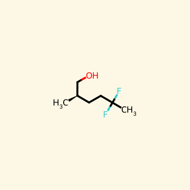 C[C@@H](CO)CCC(C)(F)F